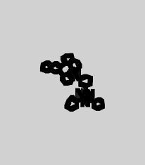 c1ccc(-c2nc(-c3ccccc3)nc(-c3cccc(-n4c5cccc6c5c5c7c(cccc7ccc54)-c4cc5ccccc5cc4-6)c3)n2)cc1